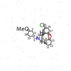 COc1ccc(CN2C[C@@H]3c4ccccc4Oc4ccc(Cl)cc4[C@H]3C2)cc1